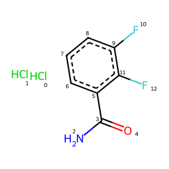 Cl.Cl.NC(=O)c1cccc(F)c1F